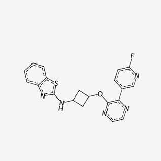 Fc1ccc(-c2nccnc2OC2CC(Nc3nc4ccccc4s3)C2)cn1